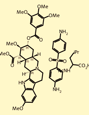 CC(=O)NC(CC(C)C)C(=O)O.COC(=O)[C@H]1[C@H]2C[C@@H]3c4[nH]c5cc(OC)ccc5c4CCN3C[C@H]2C[C@@H](OC(=O)c2cc(OC)c(OC)c(OC)c2)[C@@H]1OC.Nc1ccc(S(=O)(=O)c2ccc(N)cc2)cc1